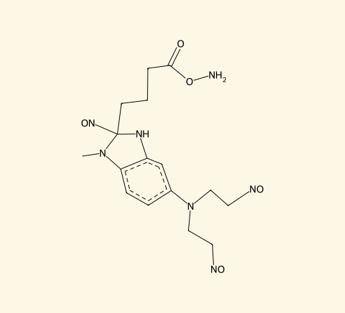 CN1c2ccc(N(CCN=O)CCN=O)cc2NC1(CCCC(=O)ON)N=O